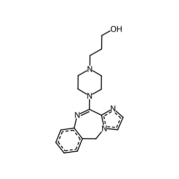 OCCCN1CCN(C2=Nc3ccccc3Cn3ccnc32)CC1